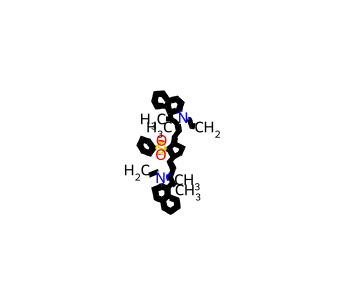 C=CCN1/C(=C/C=C2\CCC(/C=C/C3=[N+](CC=C)c4ccc5ccccc5c4C3(C)C)=C2S(=O)(=O)c2ccccc2)C(C)(C)c2c1ccc1ccccc21